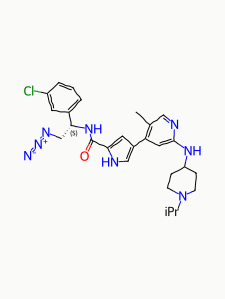 Cc1cnc(NC2CCN(C(C)C)CC2)cc1-c1c[nH]c(C(=O)N[C@H](CN=[N+]=[N-])c2cccc(Cl)c2)c1